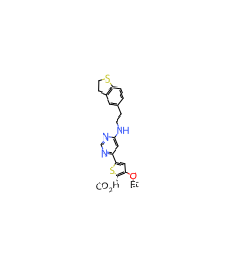 CCOc1cc(-c2cc(NCCc3ccc4c(c3)CCS4)ncn2)sc1C(=O)O